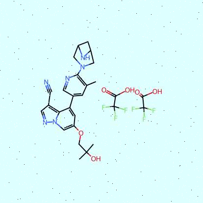 Cc1cc(-c2cc(OCC(C)(C)O)cn3ncc(C#N)c23)cnc1N1CC2CC(C1)N2.O=C(O)C(F)(F)F.O=C(O)C(F)(F)F